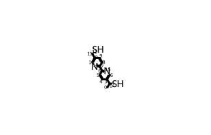 CC(S)c1ccc(-c2ccc(CS)cn2)nc1